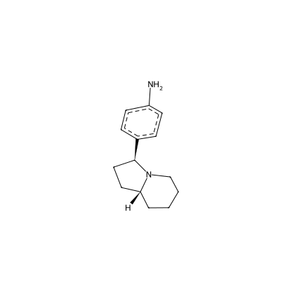 Nc1ccc([C@@H]2CC[C@H]3CCCCN32)cc1